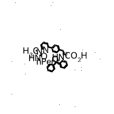 CCCCCNC(=O)N(C)c1cccc(-c2ccc(C[C@H](Nc3ccccc3C(=O)c3ccccc3)C(=O)O)cc2)n1